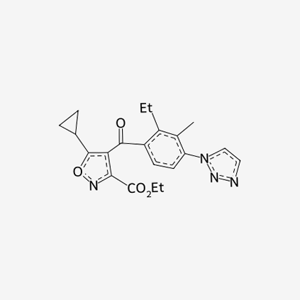 CCOC(=O)c1noc(C2CC2)c1C(=O)c1ccc(-n2ccnn2)c(C)c1CC